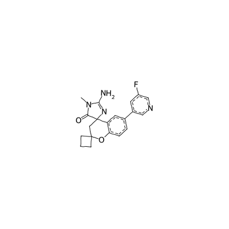 CN1C(=O)C2(CC3(CCC3)Oc3ccc(-c4cncc(F)c4)cc32)N=C1N